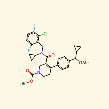 COC(c1ccc(C2=C(C(=O)N(Cc3c(F)ccc(F)c3Cl)C3CC3)CN(C(=O)OC(C)(C)C)CC2)cc1)C1CC1